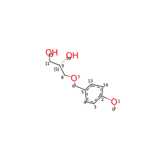 COc1ccc(COC[C@@H](O)CO)cc1